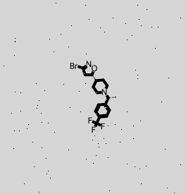 C[C@H](c1ccc(C(F)(F)F)cc1)N1CCC([C@@H]2CC(Br)=NO2)CC1